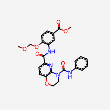 COCOc1ccc(C(=O)OC)cc1NC(=O)c1ccc2c(n1)N(C(=O)Nc1ccccc1)CCO2